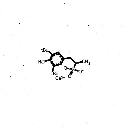 CC(Cc1cc(C(C)(C)C)c(O)c(C(C)(C)C)c1)P(=O)([O-])[O-].[Ca+2]